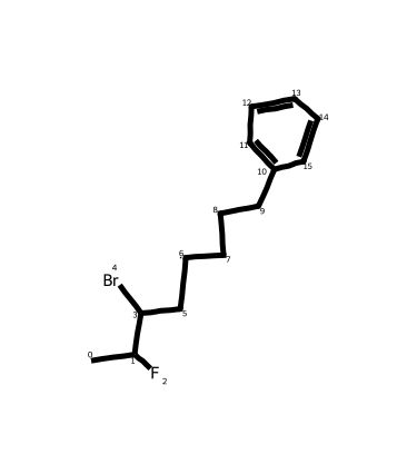 CC(F)C(Br)C[CH]CCCc1ccccc1